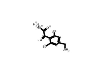 CCc1cc(CN)cc(CC)c1C(=O)C(=O)NN